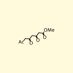 COC(=O)CC(=O)CC(=O)CC(C)=O